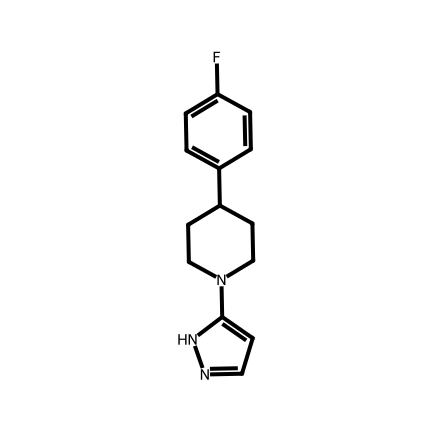 Fc1ccc(C2CCN(c3ccn[nH]3)CC2)cc1